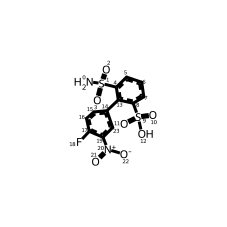 NS(=O)(=O)c1cccc(S(=O)(=O)O)c1-c1ccc(F)c([N+](=O)[O-])c1